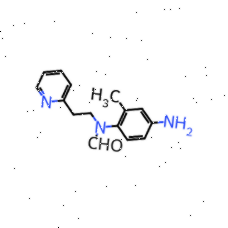 Cc1cc(N)ccc1N(C=O)CCc1ccccn1